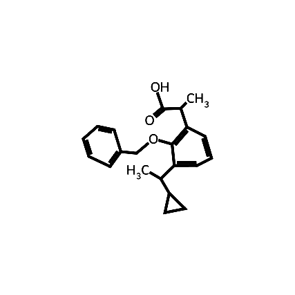 CC(C(=O)O)c1cccc(C(C)C2CC2)c1OCc1ccccc1